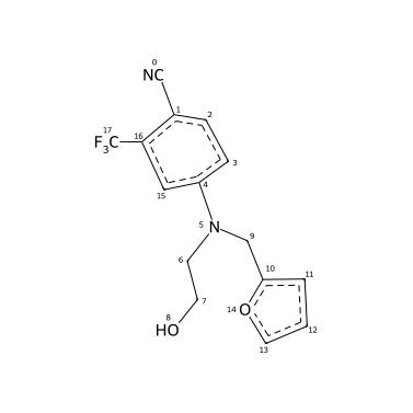 N#Cc1ccc(N(CCO)Cc2ccco2)cc1C(F)(F)F